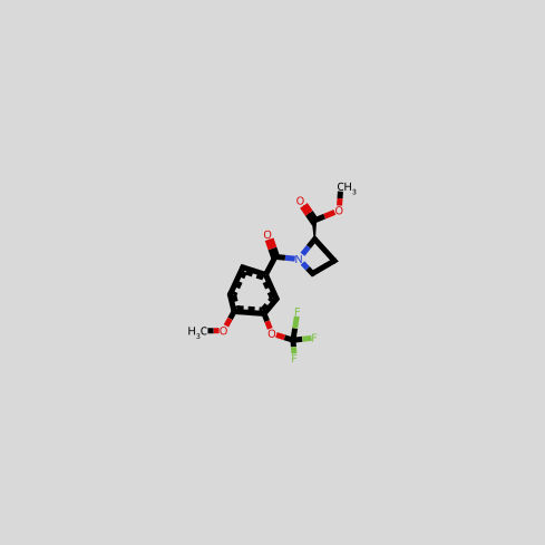 COC(=O)[C@H]1CCN1C(=O)c1ccc(OC)c(OC(F)(F)F)c1